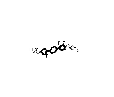 CCOc1ccc(C2CCC(c3ccc(OC)cc3F)CC2)c(F)c1F